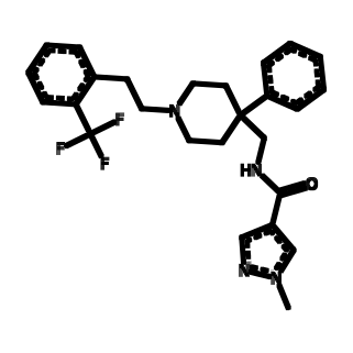 Cn1cc(C(=O)NCC2(c3ccccc3)CCN(CCc3ccccc3C(F)(F)F)CC2)cn1